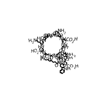 CC(C)CCCCCCC(=O)NC(Cc1c[nH]c2ccccc12)C(=O)NC(CCC(=O)O)C(=O)NC(C(=O)NC1C(=O)N(C)CC(=O)NC(C)C(=O)NC(CC(=O)O)C(=O)NC(CCCCN)C(=O)NC(C(O)C(=O)O)C(=O)NCC(=O)NC(CC(N)=O)C(=O)NC(CCC(=O)O)C(=O)NC(C(C)C)C(=O)OC1C)C(O)C(N)=O